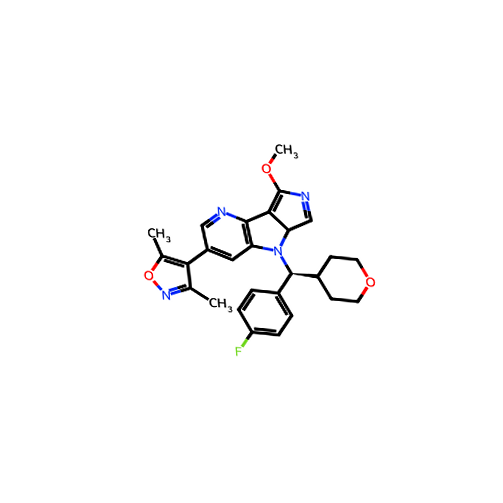 COC1=C2c3ncc(-c4c(C)noc4C)cc3N([C@H](c3ccc(F)cc3)C3CCOCC3)C2C=N1